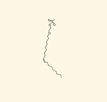 CCCCCCCC/C=C\CCCCCCCCOCCOS(C)(=O)=O